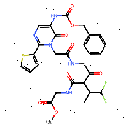 CC(C(F)F)C(C(=O)CNC(=O)Cn1c(-c2cccs2)ncc(NC(=O)OCc2ccccc2)c1=O)C(=O)NCC(=O)OC(C)(C)C